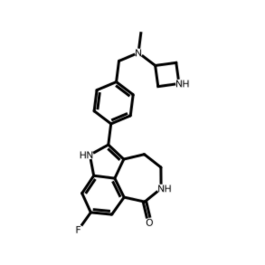 CN(Cc1ccc(-c2[nH]c3cc(F)cc4c3c2CCNC4=O)cc1)C1CNC1